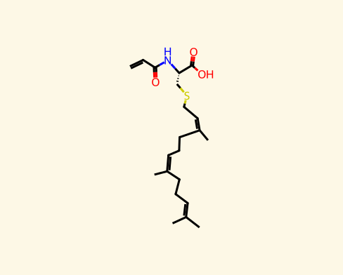 C=CC(=O)N[C@@H](CSCC=C(C)CCC=C(C)CCC=C(C)C)C(=O)O